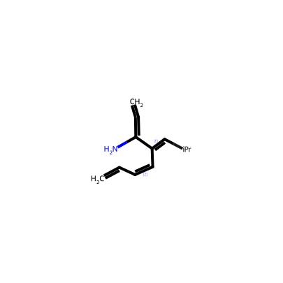 C=C=C(N)C(/C=C\C=C)=C/C(C)C